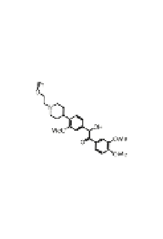 COc1ccc(C(=O)C(O)c2ccc(C3CCN(CCOC(C)C)CC3)c(OC)c2)cc1OC